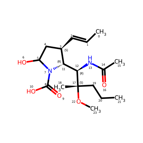 CC=C[C@@H]1CC(O)N(C(=O)O)[C@H]1[C@@H](NC(C)=O)[C@](C)(CCC)OC